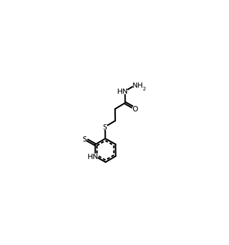 NNC(=O)CCSc1ccc[nH]c1=S